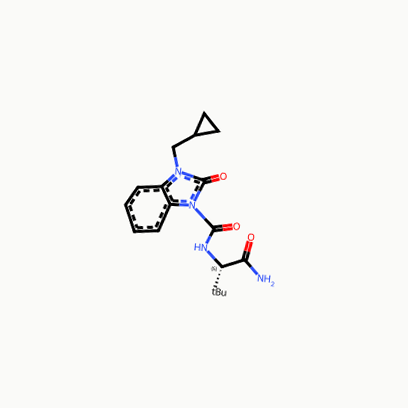 CC(C)(C)[C@H](NC(=O)n1c(=O)n(CC2CC2)c2ccccc21)C(N)=O